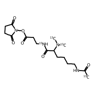 [13CH3]C(=O)NCCCCC(C(=O)[15NH]CCC(=O)ON1C(=O)CCC1=O)N([13CH3])[13CH3]